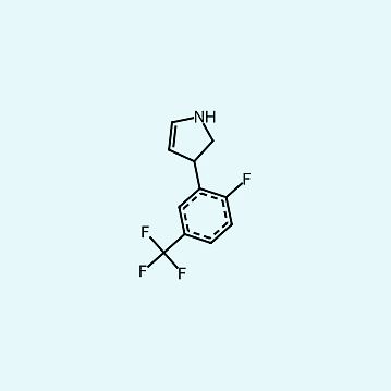 Fc1ccc(C(F)(F)F)cc1C1C=CNC1